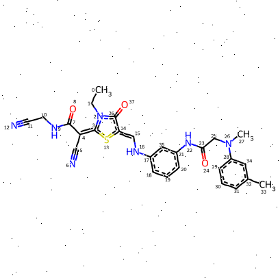 CCn1c(=C(C#N)C(=O)NCC#N)sc(=CNc2cccc(NC(=O)CN(C)c3cccc(C)c3)c2)c1=O